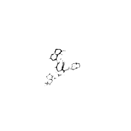 [2H]C1([2H])CC[C@@]2(C([2H])([2H])Oc3nc(N4C[C@H]5CC[C@@H](C4)N5)c4cnc(-c5cc(O)cc6ccc(F)c(F)c56)c(F)c4n3)C[C@@H](F)CN12